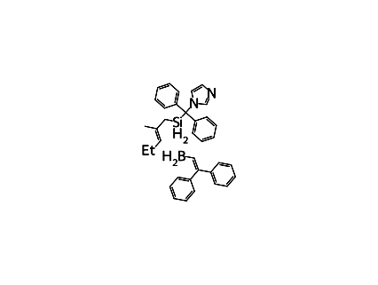 BC=C(c1ccccc1)c1ccccc1.CCC=C(C)C[SiH2]C(c1ccccc1)(c1ccccc1)n1ccnc1